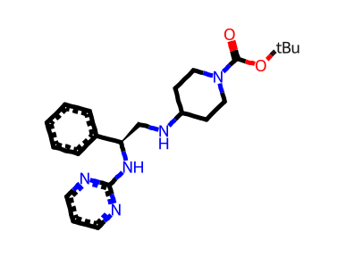 CC(C)(C)OC(=O)N1CCC(NC[C@@H](Nc2ncccn2)c2ccccc2)CC1